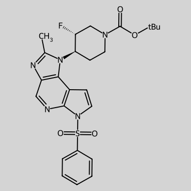 Cc1nc2cnc3c(ccn3S(=O)(=O)c3ccccc3)c2n1[C@@H]1CCN(C(=O)OC(C)(C)C)C[C@H]1F